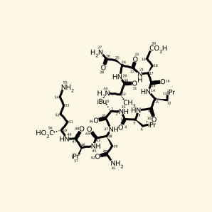 CCC(C)[C@H](NC(=O)[C@H](CC(C)C)NC(=O)[C@H](CC(C)C)NC(=O)[C@H](CCC(=O)O)NC(=O)[C@H](CC(N)=O)NC(=O)[C@H](C)N)C(=O)N[C@@H](CC(N)=O)C(=O)N[C@H](C(=O)N[C@@H](CCCCN)C(=O)O)C(C)C